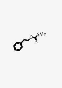 CSC(=S)OCCc1ccccc1